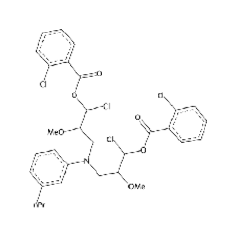 CCCc1cccc(N(CC(OC)C(Cl)OC(=O)c2ccccc2Cl)CC(OC)C(Cl)OC(=O)c2ccccc2Cl)c1